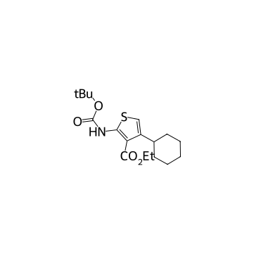 CCOC(=O)c1c(C2CCCCC2)csc1NC(=O)OC(C)(C)C